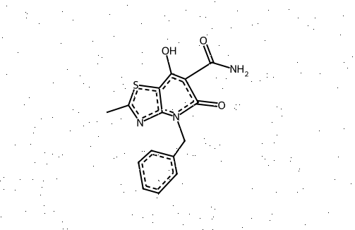 Cc1nc2c(s1)c(O)c(C(N)=O)c(=O)n2Cc1ccccc1